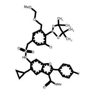 CNC(=O)c1c(-c2ccc(F)cc2)oc2cc(NS(=O)(=O)Cc3cc(Cl)c(B4OC(C)(C)C(C)(C)O4)c(COCOC)c3)c(C3CC3)cc12